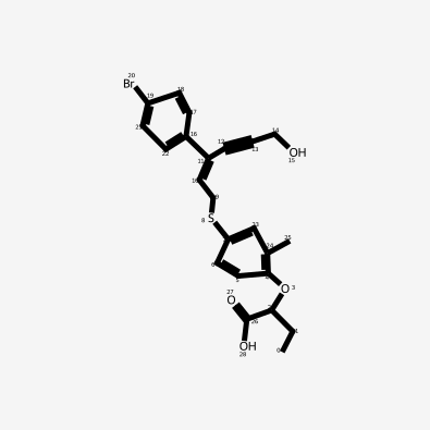 CCC(Oc1ccc(SCC=C(C#CCO)c2ccc(Br)cc2)cc1C)C(=O)O